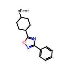 CCCCCC1CCC(c2nc(-c3cc[c]cc3)no2)CC1